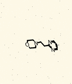 [c]1cnc(CCN2CCOCC2)nc1